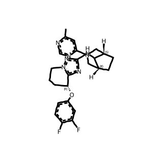 Cc1cc(N2C[C@H]3CC[C@@H](C2)C3Nc2nc3n(n2)CCC[C@H]3Oc2ccc(F)c(F)c2)ncn1